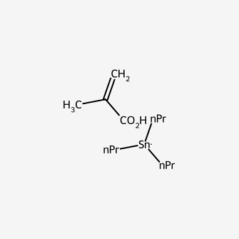 C=C(C)C(=O)O.CC[CH2][Sn]([CH2]CC)[CH2]CC